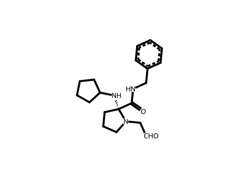 O=CCN1CCC[C@@]1(NC1CCCC1)C(=O)NCc1ccccc1